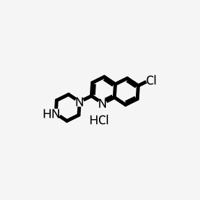 Cl.Clc1ccc2nc(N3CCNCC3)ccc2c1